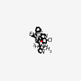 [2H]C(Nc1cc(Cl)c2ncc(C#N)c(N[C@H](CC)c3ccccc3)c2c1)(c1cn(C2CC2)nn1)c1cccnc1C